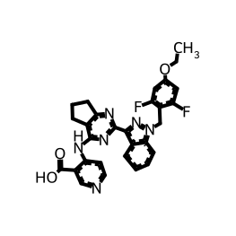 CCOc1cc(F)c(Cn2nc(-c3nc4c(c(Nc5ccncc5C(=O)O)n3)CCC4)c3ccccc32)c(F)c1